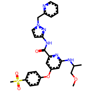 COCC(C)Nc1cc(Oc2ccc(S(C)(=O)=O)cc2)cc(C(=O)Nc2ccn(Cc3ccccn3)n2)n1